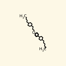 CCCCCCC1CCC(c2ccc(OCCCC3CCC(CCCCC)CC3)cc2)CC1